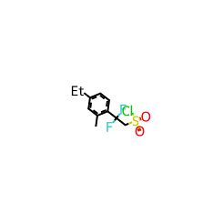 CCc1ccc(C(F)(F)CS(=O)(=O)Cl)c(C)c1